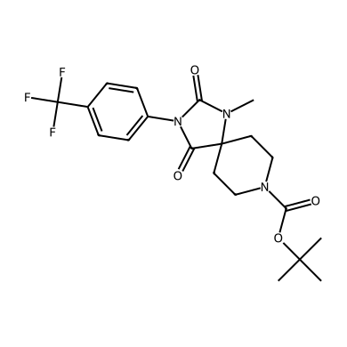 CN1C(=O)N(c2ccc(C(F)(F)F)cc2)C(=O)C12CCN(C(=O)OC(C)(C)C)CC2